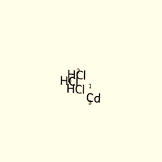 Cl.Cl.Cl.[Cd]